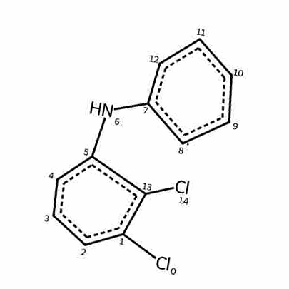 Clc1cccc(Nc2[c]cccc2)c1Cl